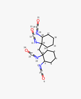 O=C=NC1CCCCC1(CC1(N=C=O)CCCCC1N=C=O)N=C=O